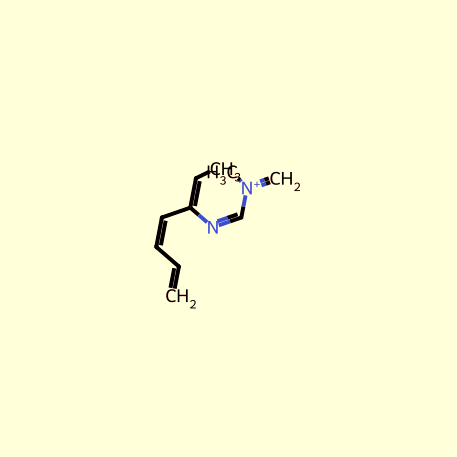 C=C\C=C/C(=C/C)/N=C\[N+](=C)C